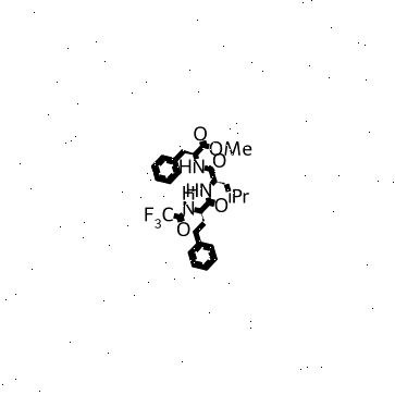 COC(=O)[C@H](Cc1ccccc1)NC(=O)[C@H](CC(C)C)NC(=O)[C@H](CCc1ccccc1)NC(=O)C(F)(F)F